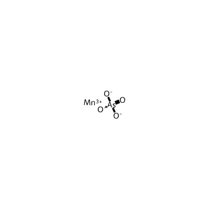 O=[As]([O-])([O-])[O-].[Mn+3]